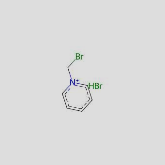 Br.BrC[n+]1ccccc1